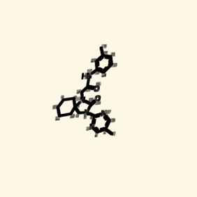 Cc1cnc(N2CC3(CCCCC3)N(CC(=O)Nc3cccc(C)c3)C2=O)nc1